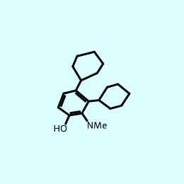 CNc1c(O)ccc(C2CCCCC2)c1C1CCCCC1